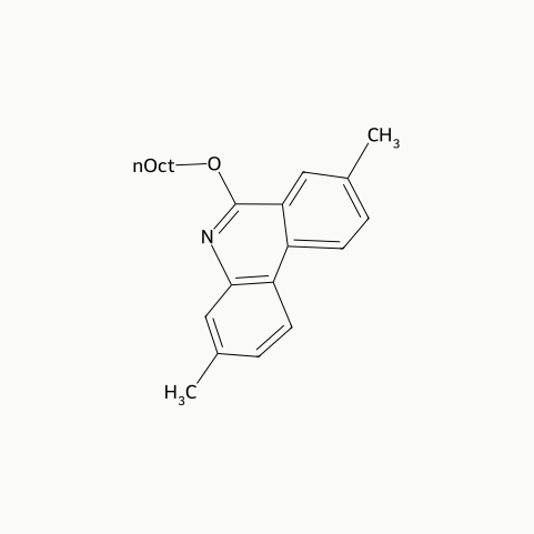 CCCCCCCCOc1nc2cc(C)ccc2c2ccc(C)cc12